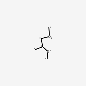 COCC(C)SC